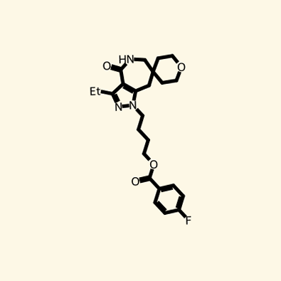 CCc1nn(CCCCOC(=O)c2ccc(F)cc2)c2c1C(=O)NCC1(CCOCC1)C2